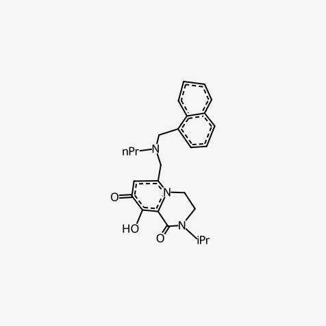 CCCN(Cc1cccc2ccccc12)Cc1cc(=O)c(O)c2n1CCN(C(C)C)C2=O